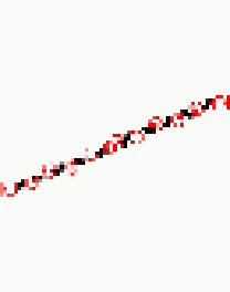 OCCOCCOCCOCCOCCOOCCOCCOCCOCCOCCO